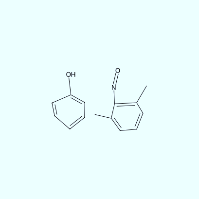 Cc1cccc(C)c1N=O.Oc1ccccc1